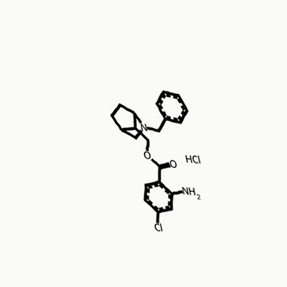 Cl.Nc1cc(Cl)ccc1C(=O)OCC1C2CCC1N(Cc1ccccc1)C2